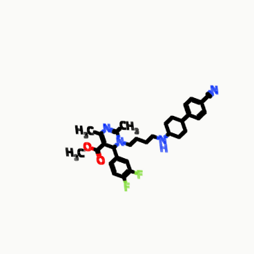 COC(=O)C1=C(C)N=C(C)N(CCCCNC2CCC(c3ccc(C#N)cc3)CC2)C1c1ccc(F)c(F)c1